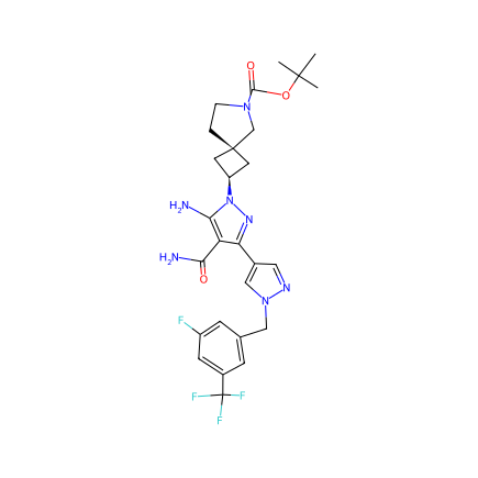 CC(C)(C)OC(=O)N1CC[C@]2(C1)C[C@H](n1nc(-c3cnn(Cc4cc(F)cc(C(F)(F)F)c4)c3)c(C(N)=O)c1N)C2